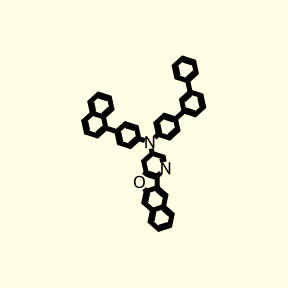 C1=Nc2c(oc3cc4ccccc4cc23)CC1N(c1ccc(-c2cccc(-c3ccccc3)c2)cc1)c1ccc(-c2cccc3ccccc23)cc1